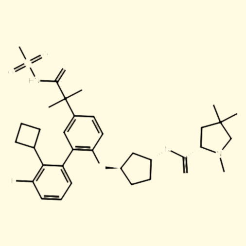 CN1CC(C)(C)C[C@H]1C(=O)N[C@@H]1CC[C@@H](Oc2ccc(C(C)(C)C(=O)NS(C)(=O)=O)cc2-c2cccc(F)c2C2CCC2)C1